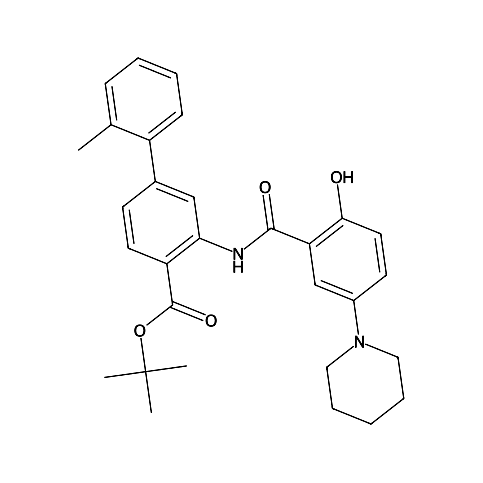 Cc1ccccc1-c1ccc(C(=O)OC(C)(C)C)c(NC(=O)c2cc(N3CCCCC3)ccc2O)c1